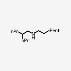 CCCC(C)CCNCC(CCC)CCC